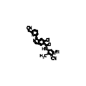 CC[C@H]1C[C@@H](NC(=O)c2cc3cnn(-c4cccc(CC#N)n4)c3cc2Cl)[C@@H](C)N1C#N